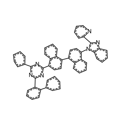 c1ccc(-c2nc(-c3ccccc3-c3ccccc3)nc(-c3ccc(-c4ccc(-n5c(-c6ccccn6)nc6ccccc65)c5ccccc45)c4ccccc34)n2)cc1